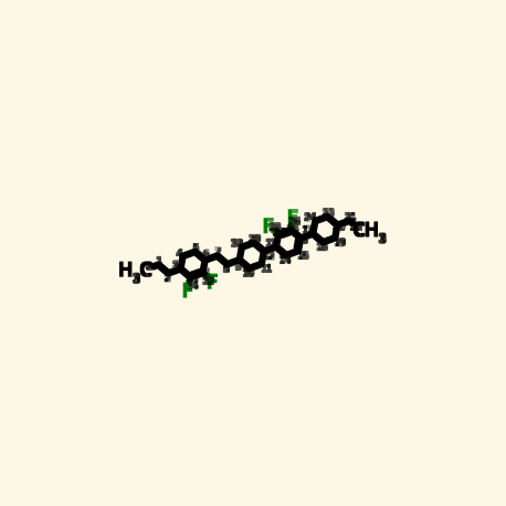 CCCC1CCC(CCC2CCC(C3CC=C(C4CCC(CC)CC4)C(F)=C3F)CC2)C(F)=C1F